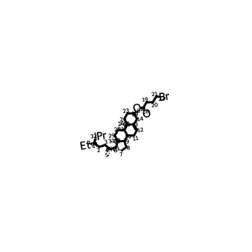 CC[C@H](CC[C@@H](C)[C@H]1CCC2C3CC=C4C[C@@H](OC(=O)CCCBr)CC[C@]4(C)C3CC[C@@]21C)C(C)C